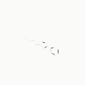 OCCCn1nc(-c2ccc(F)cc2)cc1CO